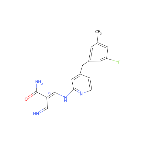 N=C/C(=C\Nc1cc(Cc2cc(F)cc(C(F)(F)F)c2)ccn1)C(N)=O